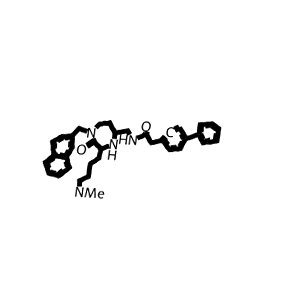 CNCCCCC1NC(CNC(=O)Cc2ccc(-c3ccccc3)cc2)CCN(Cc2ccc3ccccc3c2)C1=O